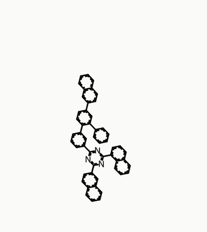 c1ccc(-c2cc(-c3ccc4ccccc4c3)ccc2-c2cccc(-c3nc(-c4ccc5ccccc5c4)nc(-c4cccc5ccccc45)n3)c2)cc1